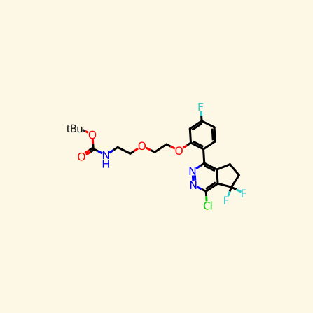 CC(C)(C)OC(=O)NCCOCCOc1cc(F)ccc1-c1nnc(Cl)c2c1CCC2(F)F